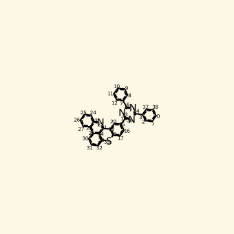 c1ccc(-c2nc(-c3ccccc3)nc(-c3ccc4c(c3)-c3nc5ccccc5c5cccc(c35)S4)n2)cc1